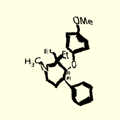 CCC1(CC)[C@H](Oc2ccc(OC)cc2)[C@@H](c2ccccc2)CCN1C